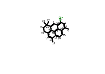 Cc1cc(Br)c2cc3c4c(cc(C)c5ccc1c2c54)CCC3(C)C